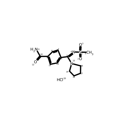 CS(=O)(=O)N=C(c1ccc(C(N)=O)cc1)N1CCCC1.Cl